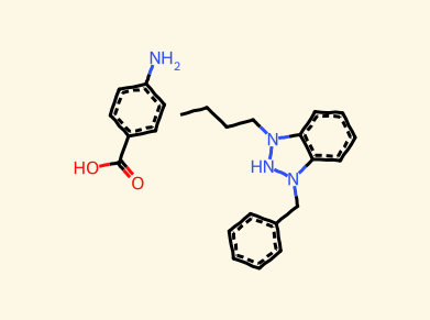 CCCCN1NN(Cc2ccccc2)c2ccccc21.Nc1ccc(C(=O)O)cc1